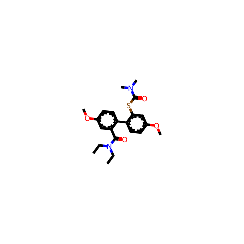 CCN(CC)C(=O)c1cc(OC)ccc1-c1ccc(OC)cc1SC(=O)N(C)C